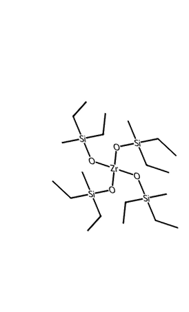 CC[Si](C)(CC)[O][Zr]([O][Si](C)(CC)CC)([O][Si](C)(CC)CC)[O][Si](C)(CC)CC